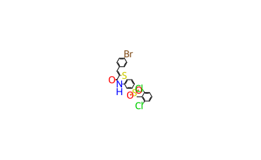 O=C1Nc2cc(S(=O)(=O)Cc3c(Cl)cccc3Cl)ccc2SC1=Cc1ccc(Br)cc1